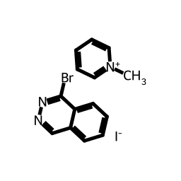 Brc1nncc2ccccc12.C[n+]1ccccc1.[I-]